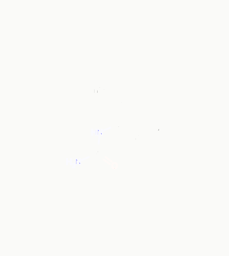 CCCc1ccc[c]c1NC(N)=O